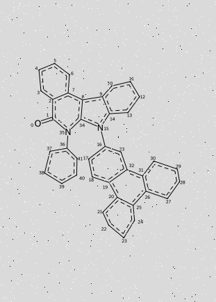 O=c1c2ccccc2c2c3ccccc3n(-c3ccc4c5ccccc5c5ccccc5c4c3)c2n1-c1ccccc1